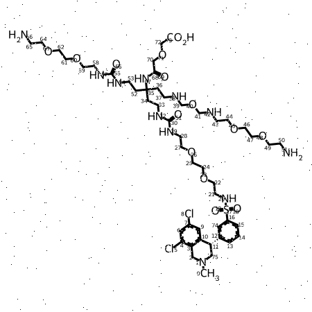 CN1Cc2c(Cl)cc(Cl)cc2[C@H](c2cccc(S(=O)(=O)NCCOCCOCCNC(=O)NCCC(CCNCOCNCCOCCOCCN)(CCNC(=O)NCCOCCOCCN)NC(=O)COCC(=O)O)c2)C1